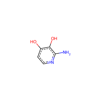 Nc1nccc(O)c1O